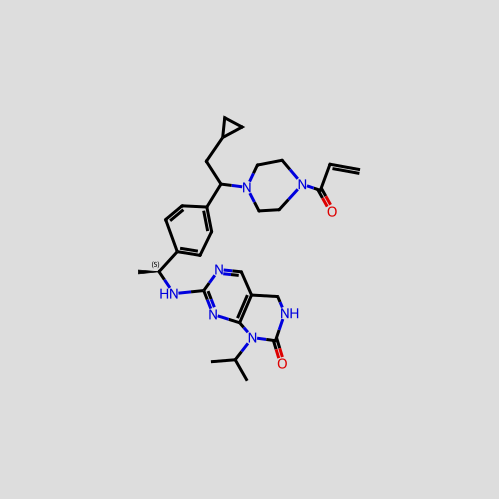 C=CC(=O)N1CCN(C(CC2CC2)c2ccc([C@H](C)Nc3ncc4c(n3)N(C(C)C)C(=O)NC4)cc2)CC1